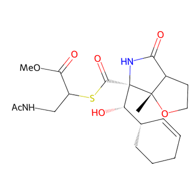 COC(=O)C(CNC(C)=O)SC(=O)[C@]1([C@@H](O)[C@@H]2C=CCCC2)NC(=O)C2CCO[C@@]21C